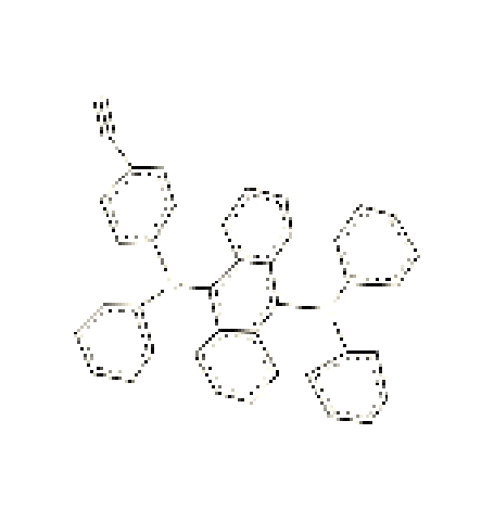 N#Cc1ccc(N(c2ccccc2)c2c3ccccc3c(N(c3ccccc3)c3ccccc3)c3ccccc23)cc1